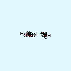 Nc1ncnc2c1c(-c1ccc(Oc3ccccc3)cc1)nn2C1CCCN(C(=O)/C=C/CN2CCN(CCCCCCCCCCCSc3cccc4c3C(=O)N(C3CCC(=O)NC3=O)C4=O)CC2)C1